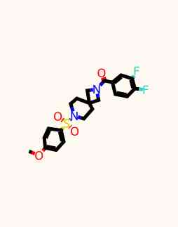 COc1ccc(S(=O)(=O)N2CCC3(CC2)CN(C(=O)c2ccc(F)c(F)c2)C3)cc1